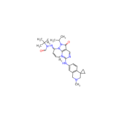 C/C=C\C(=N/N(C=O)C(C)(C)C)n1c2nc(Nc3ccc4c(c3)CN(C)CC43CC3)ncc2c(=O)n1C(C)C